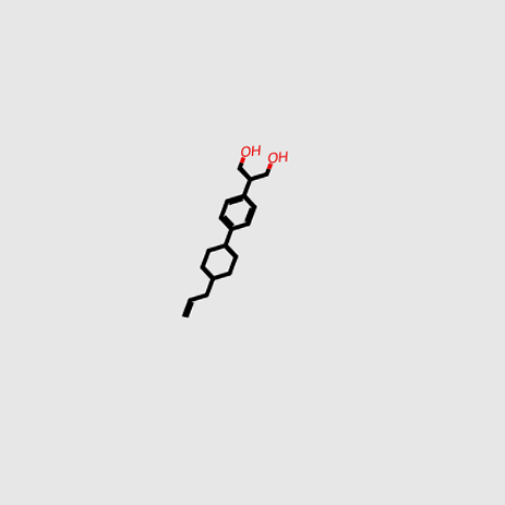 C=CCC1CCC(c2ccc(C(CO)CO)cc2)CC1